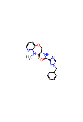 CN1C(=S)[C@@H](NC(=O)c2ncn(Cc3ccccc3)n2)COc2cccnc21